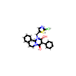 O=c1c(-c2ccccc2)c(O)[n+](Cc2cnc(Cl)s2)c2c3ccccc3ccn12